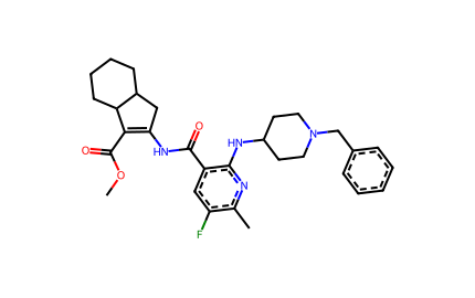 COC(=O)C1=C(NC(=O)c2cc(F)c(C)nc2NC2CCN(Cc3ccccc3)CC2)CC2CCCCC12